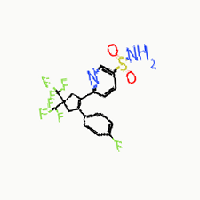 NS(=O)(=O)c1ccc(C2=C(c3ccc(F)cc3)CC(C(F)(F)F)(C(F)(F)F)C2)nc1